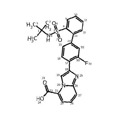 CC(C)(C)NS(=O)(=O)c1ccccc1-c1ccc(-c2cn3c(C(=O)O)cccc3n2)c(F)c1